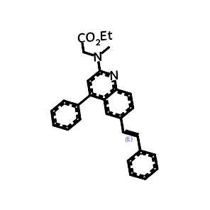 CCOC(=O)CN(C)c1cc(-c2ccccc2)c2cc(/C=C/c3ccccc3)ccc2n1